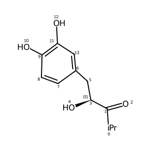 CC(C)C(=O)[C@@H](O)Cc1ccc(O)c(O)c1